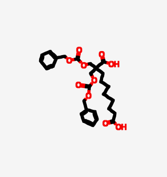 O=C(O)CCCCCCCC(COC(=O)OCc1ccccc1)(COC(=O)OCc1ccccc1)C(=O)O